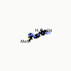 CSCc1cc2c(N3CCC4(CCN(Cc5ccc6[nH]c(C#N)cc6c5C)C4)C3)ncnc2s1